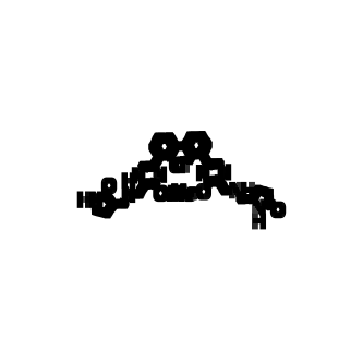 COc1nc(-c2cccc(-c3cccc(-c4cnc(CNCC5CCNC5=O)c(OC)n4)c3Cl)c2Cl)cnc1CNCC1CCC(=O)N1